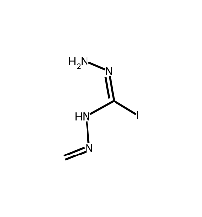 C=NN/C(I)=N\N